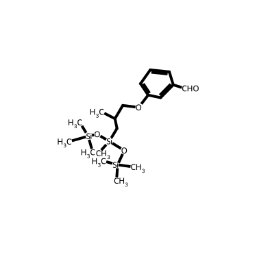 CC(COc1cccc(C=O)c1)C[Si](C)(O[Si](C)(C)C)O[Si](C)(C)C